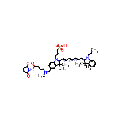 CCCN1/C(=C/C=C/C=C/C=C/C2=[N+](CCCS(=O)(=O)O)c3ccc(CN(C)CCCC(=O)ON4C(=O)CCC4=O)cc3C2(C)C)C(C)(C)c2ccccc21